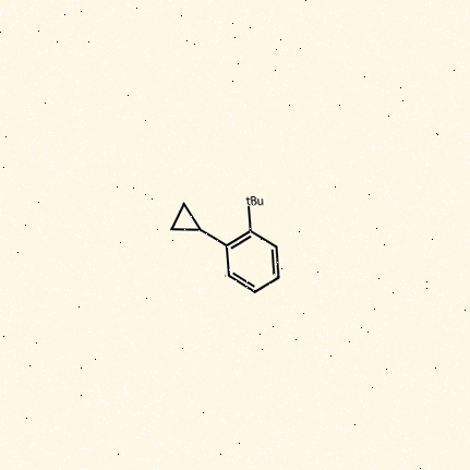 CC(C)(C)c1ccc[c]c1C1CC1